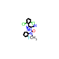 CCN(C(=O)n1nnc(-c2c(Cl)cccc2Cl)c1C#N)c1ccccc1F